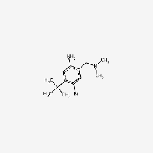 CN(C)Cc1cc(Br)c(C(C)(C)C)cc1N